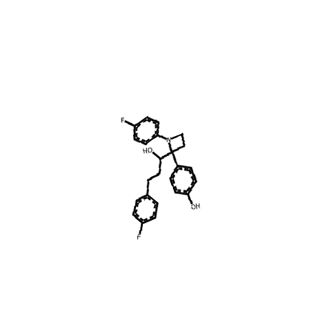 Oc1ccc(C2(C(O)CCc3ccc(F)cc3)CCN2c2ccc(F)cc2)cc1